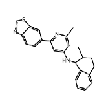 Cc1nc(NC2c3ccccc3CCC2C)cc(-c2ccc3ncsc3c2)n1